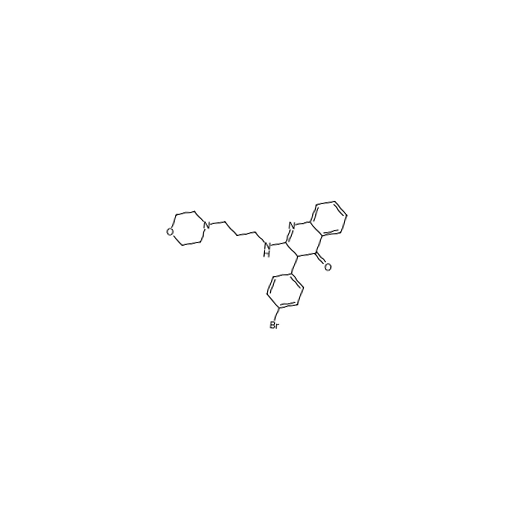 O=C1c2ccccc2N=C(NCCCN2CCOCC2)C1c1ccc(Br)cc1